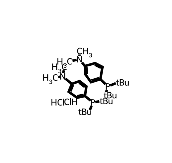 CN(C)c1ccc(P(C(C)(C)C)C(C)(C)C)cc1.CN(C)c1ccc(P(C(C)(C)C)C(C)(C)C)cc1.Cl.Cl